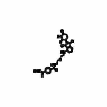 O=CNc1ccc(C(=O)NCCOCCNc2cccc3c2C(=O)N(C2CCC(=O)NC2=O)C3=O)cc1